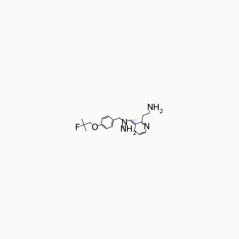 CC(C)(F)COc1ccc(CN(N)/C=C2\CC=CN=C2CCN)cc1